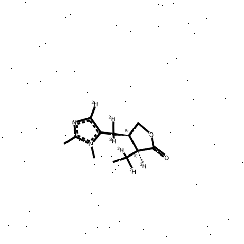 [2H]c1nc(C)n(C)c1C([2H])([2H])[C@H]1COC(=O)[C@@]1([2H])C([2H])([2H])C